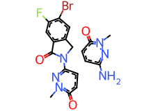 Cn1nc(N)ccc1=O.Cn1nc(N2Cc3cc(Br)c(F)cc3C2=O)ccc1=O